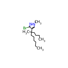 CCCCCCC(C)(CCCC)c1cn(C)nc1Br